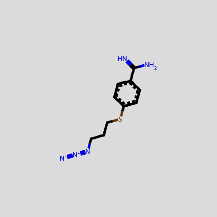 [N-]=[N+]=NCCCSc1ccc(C(=N)N)cc1